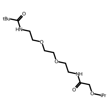 CC(C)OCC(=O)NCCOCCOCCNC(=O)C(C)(C)C